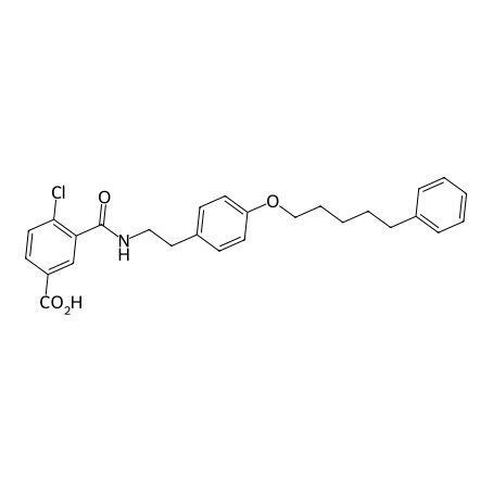 O=C(O)c1ccc(Cl)c(C(=O)NCCc2ccc(OCCCCCc3ccccc3)cc2)c1